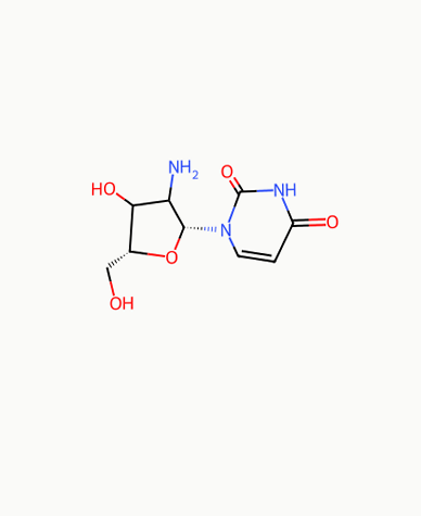 NC1C(O)[C@@H](CO)O[C@H]1n1ccc(=O)[nH]c1=O